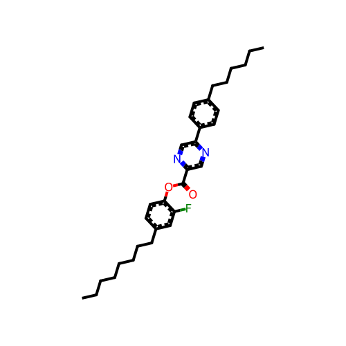 CCCCCCCCc1ccc(OC(=O)c2cnc(-c3ccc(CCCCCC)cc3)cn2)c(F)c1